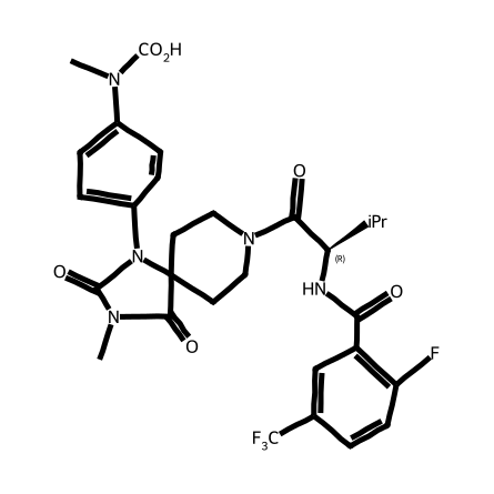 CC(C)[C@@H](NC(=O)c1cc(C(F)(F)F)ccc1F)C(=O)N1CCC2(CC1)C(=O)N(C)C(=O)N2c1ccc(N(C)C(=O)O)cc1